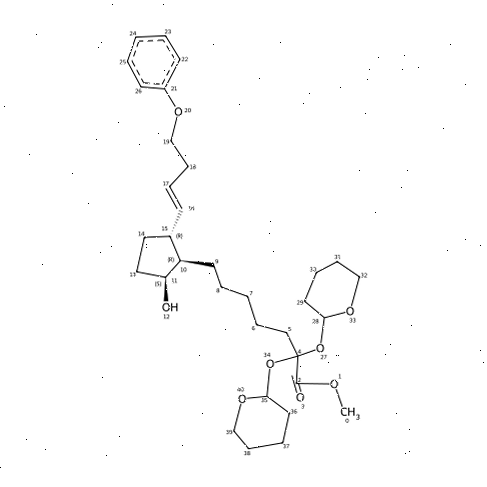 COC(=O)C(CCCCC[C@H]1[C@@H](O)CC[C@@H]1C=CCCOc1ccccc1)(OC1CCCCO1)OC1CCCCO1